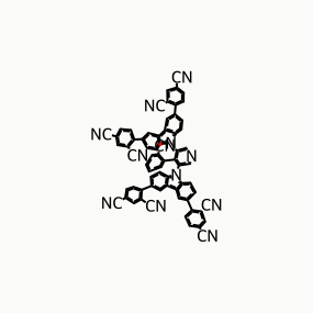 N#Cc1ccc(-c2ccc3c(c2)c2cc(-c4ccc(C#N)cc4C#N)ccc2n3-c2cncc(-n3c4ccc(-c5ccc(C#N)cc5C#N)cc4c4cc(-c5ccc(C#N)cc5C#N)ccc43)c2-c2ccccc2C#N)c(C#N)c1